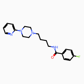 O=C(NCCCCN1CCN(c2ccccn2)CC1)c1ccc(F)cc1